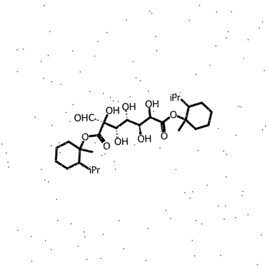 CC(C)C1CCCCC1(C)OC(=O)C(O)[C@@H](O)[C@@H](O)[C@H](O)[C@@](O)(C=O)C(=O)OC1(C)CCCCC1C(C)C